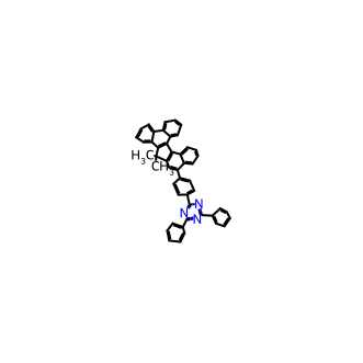 CC1(C)c2cc(-c3ccc(-c4nc(-c5ccccc5)nc(-c5ccccc5)n4)cc3)c3ccccc3c2-c2c1c1ccccc1c1ccccc21